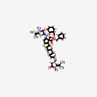 CCN1C(=O)/C(=N/C2=Cc3sc4c(sc5c6sc(/N=S7\CC(=O)N(CC)C7=C(C#N)C#N)cc6sc45)c3C2(C(=O)OCc2ccccc2)C(=O)OCc2ccccc2)SC1=C(C#N)C#N